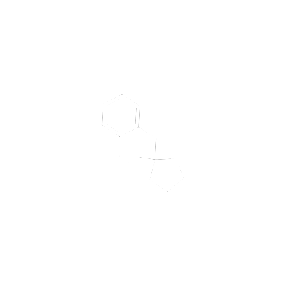 O=C(O)C1(Cc2ccccc2)CCCO1